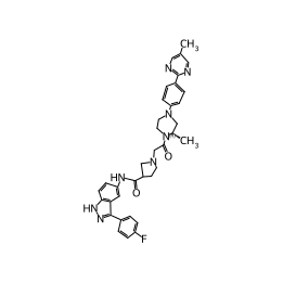 Cc1cnc(-c2ccc(N3CCN(C(=O)CN4CCC(C(=O)Nc5ccc6[nH]nc(-c7ccc(F)cc7)c6c5)C4)[C@H](C)C3)cc2)nc1